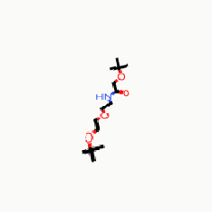 CC(C)(C)OCCOCCNC(=O)COC(C)(C)C